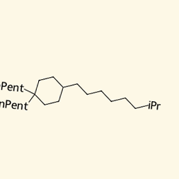 CCCCCC1(CCCCC)CCC(CCCCCCC(C)C)CC1